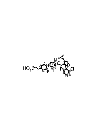 O=C(O)CCc1ccc(N2C[C@@H]3C[C@H]2C[C@H]3OCc2c(C3CC3)cnn2-c2c(F)cccc2Cl)c(F)c1